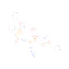 CC([C@@H]1CC[C@@H](N=[N+]=[N-])[C@@H](O[C@H]2[C@H](O)[C@@H](O)[C@H](NC(=O)OCc3ccccc3)[C@@H](O)[C@@H]2NC(=O)OCc2ccccc2)O1)N(C)C(=O)OCc1ccccc1